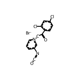 O=C=Nc1ccc[n+](CC(=O)c2ccc(Cl)cc2Cl)c1.[Br-]